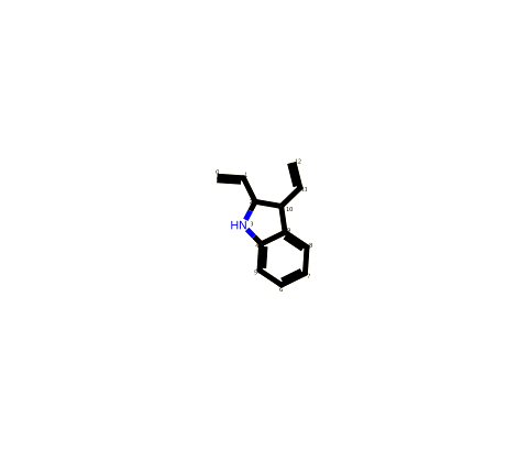 C=CC1Nc2ccccc2C1C=C